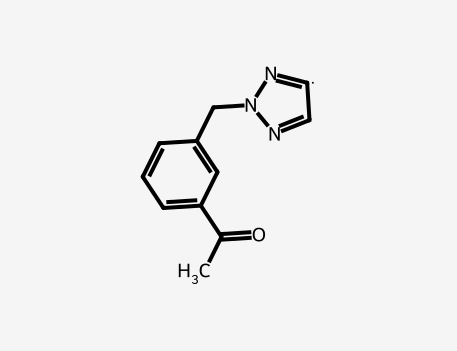 CC(=O)c1cccc(Cn2n[c]cn2)c1